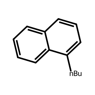 [CH]CCCc1cccc2ccccc12